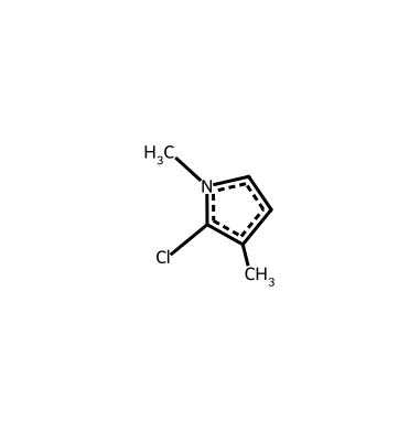 Cc1ccn(C)c1Cl